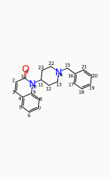 O=c1ccc2ccccc2n1C1CCN(Cc2ccccc2)CC1